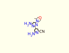 CC1COCCN1c1cc(N)nc(-c2cc(N)nc(C#N)c2)n1